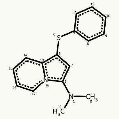 CN(C)c1cc(Sc2ccccc2)c2ccccn12